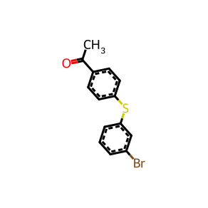 CC(=O)c1ccc(Sc2cccc(Br)c2)cc1